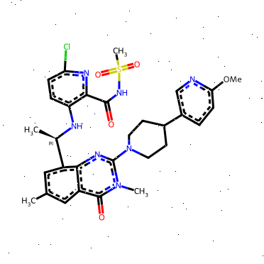 COc1ccc(C2CCN(c3nc4c([C@@H](C)Nc5ccc(Cl)nc5C(=O)NS(C)(=O)=O)cc(C)cc4c(=O)n3C)CC2)cn1